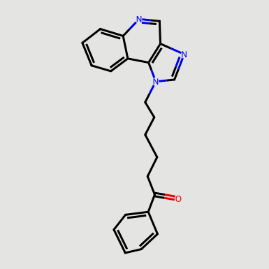 O=C(CCCCCn1cnc2cnc3ccccc3c21)c1ccccc1